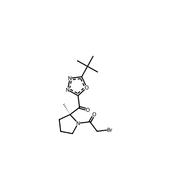 CC(C)(C)c1nnc(C(=O)[C@]2(C)CCCN2C(=O)CBr)o1